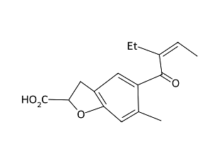 C/C=C(/CC)C(=O)c1cc2c(cc1C)OC(C(=O)O)C2